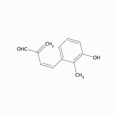 C=C(C=O)/C=C\c1cccc(O)c1C